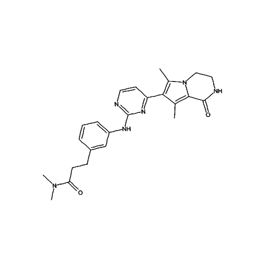 Cc1c(-c2ccnc(Nc3cccc(CCC(=O)N(C)C)c3)n2)c(C)n2c1C(=O)NCC2